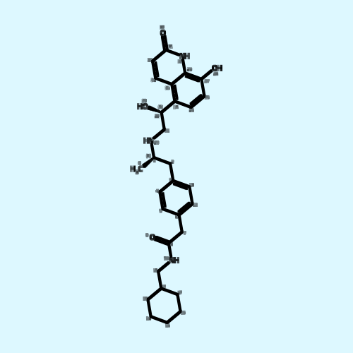 C[C@H](Cc1ccc(CC(=O)NCC2CCCCC2)cc1)NC[C@@H](O)c1ccc(O)c2[nH]c(=O)ccc12